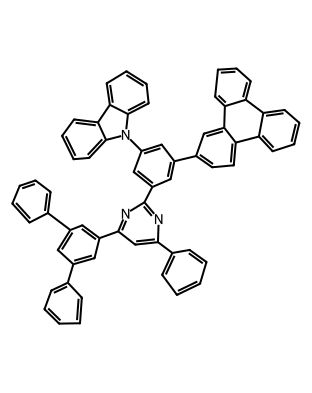 c1ccc(-c2cc(-c3ccccc3)cc(-c3cc(-c4ccccc4)nc(-c4cc(-c5ccc6c7ccccc7c7ccccc7c6c5)cc(-n5c6ccccc6c6ccccc65)c4)n3)c2)cc1